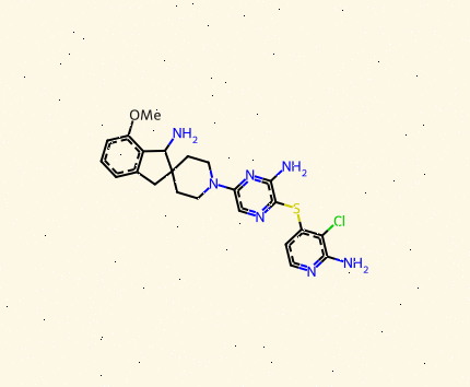 COc1cccc2c1C(N)C1(CCN(c3cnc(Sc4ccnc(N)c4Cl)c(N)n3)CC1)C2